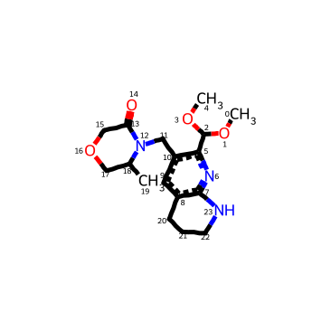 COC(OC)c1nc2c(cc1CN1C(=O)COCC1C)CCCN2